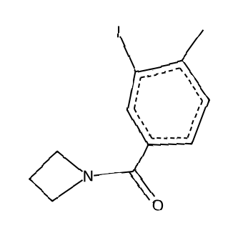 Cc1ccc(C(=O)N2CCC2)cc1I